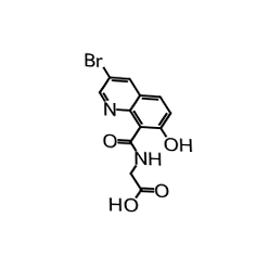 O=C(O)CNC(=O)c1c(O)ccc2cc(Br)cnc12